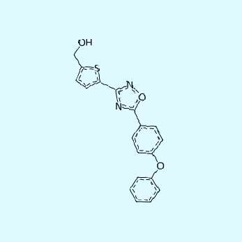 OCc1ccc(-c2noc(-c3ccc(Oc4ccccc4)cc3)n2)s1